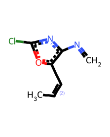 C=Nc1nc(Cl)oc1/C=C\C